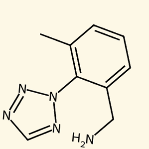 Cc1cccc(CN)c1-n1ncnn1